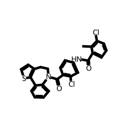 Cc1c(Cl)cccc1C(=O)Nc1ccc(C(=O)N2CCc3ccsc3-c3ccccc32)c(Cl)c1